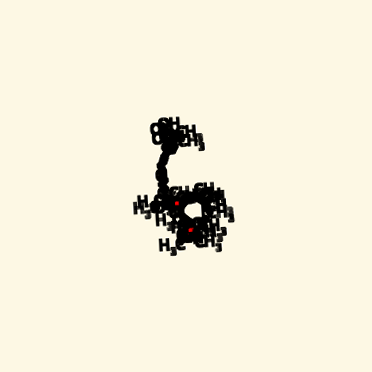 CC[C@H]1OC(=O)[C@H](C)[C@@H](O[C@H]2C[C@@](C)(OC)[C@@H](OCCCOCCC#Cc3ccc4c(c3)c(=O)c(C(=O)O)cn4N(C)C)[C@H](C)O2)[C@H](C)[C@@H](O[C@@H]2O[C@H](C)C[C@H](N(C)C)[C@H]2O)[C@](C)(O)C[C@@H](C)CN(C)[C@H](C)[C@@H](O)[C@]1(C)O